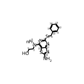 CCCN(CCO)c1nc(SCc2ccccc2)nc2nc(N)sc12